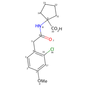 COc1ccc(CC(=O)NC2(C(=O)O)CCCC2)c(Cl)c1